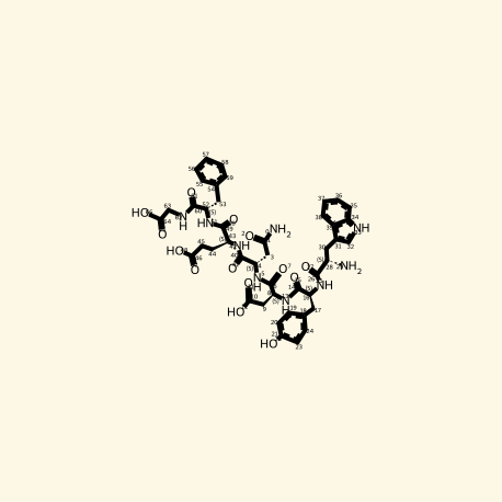 NC(=O)C[C@H](NC(=O)[C@H](CC(=O)O)NC(=O)[C@H](Cc1ccc(O)cc1)NC(=O)[C@@H](N)Cc1c[nH]c2ccccc12)C(=O)N[C@@H](CCC(=O)O)C(=O)N[C@@H](Cc1ccccc1)C(=O)NCC(=O)O